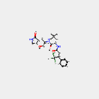 CC(C)(C)C[C@H](NC(=O)CC(c1ccccc1)C(F)(F)F)C(=O)NC(C=O)C[C@@H]1CCNC1=O